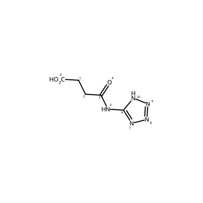 O=C(O)CCC(=O)Nc1nnn[nH]1